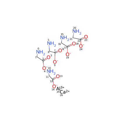 NCC(=O)[O-].NCC(=O)[O-].NCC(=O)[O-].NCC(=O)[O-].NCC(=O)[O-].[Al+3].[Ca+2]